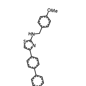 COc1ccc(CNc2nc(-c3ccc(-c4ccccc4)cc3)cs2)cc1